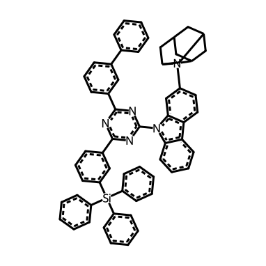 c1ccc(-c2cccc(-c3nc(-c4cccc([Si](c5ccccc5)(c5ccccc5)c5ccccc5)c4)nc(-n4c5ccccc5c5ccc(N6C7CC8CC(C7)CC6C8)cc54)n3)c2)cc1